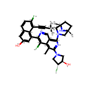 Cc1c(N2C[C@@H](O)[C@H](F)C2)nc(N2C[C@H]3CC[C@@H](C2)N3)c2cnc(-c3cc(O)cc4ccc(F)c(C#C[Si](C(C)C)(C(C)C)C(C)C)c34)c(F)c12